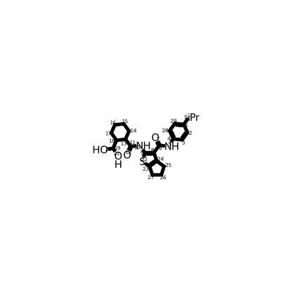 CC(C)c1ccc(NC(=O)c2c(NC(=O)C3CCCCC3C(O)O)sc3c2CCC3)cc1